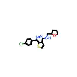 Clc1ccc(-c2nnc(NCC3CCCO3)c3ccsc23)cc1